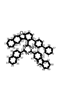 c1ccc(-c2ccc(-c3ccc4oc5cc6ccccc6cc5c4c3C3=NC(c4ccc5ccccc5c4)=NC(c4ccc5c(c4)sc4ccccc45)N3)cc2)cc1